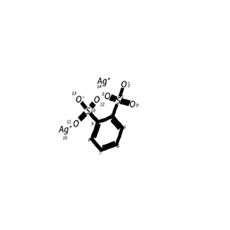 O=S(=O)([O-])c1ccccc1S(=O)(=O)[O-].[Ag+].[Ag+]